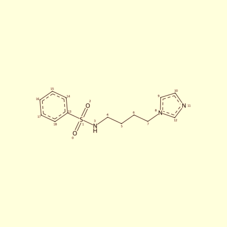 O=S(=O)(NCCCCn1ccnc1)c1ccccc1